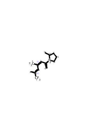 C=C(/C=C(\C=C(/C)C(F)(F)F)C(F)(F)F)N1CCCC1C